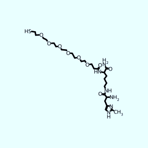 Cc1nc(CC(N)C(=O)NCCCCC(NC(=O)CCOCCOCCOCCOCCOCCOCCS)C(N)=O)c[nH]1